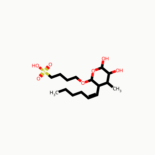 CCCC/C=C\C1C(OCCCCS(=O)(=O)O)OC(O)C(O)C1C